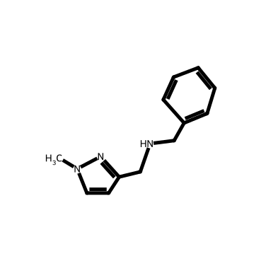 Cn1ccc(CNCc2ccccc2)n1